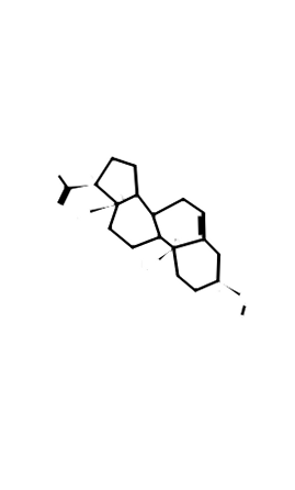 CO[C@H]1CC[C@@]2(C)C(=CCC3C2CC[C@@]2(C)C3CC[C@@H]2C(C)=O)C1